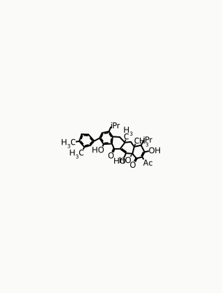 CC(=O)C1=C(O)C(C(C)C)[C@@]2(C)C[C@@]3(C)Cc4c(C(C)C)cc(-c5ccc(C)c(C)c5)c(O)c4C(=O)C3=C(O)[C@@]2(O)C1=O